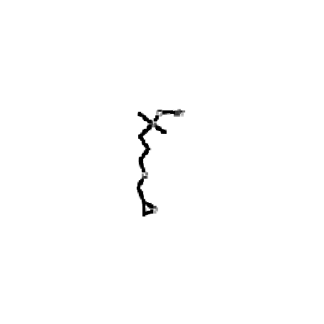 CCCO[Si](C)(C)CCCOCC1CO1